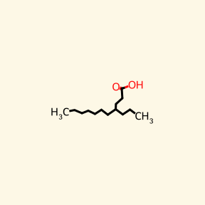 CCCCCCCC(CCC)CCC(=O)O